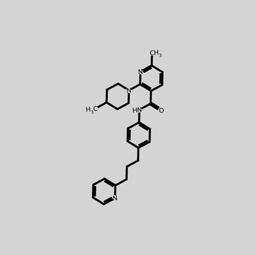 Cc1ccc(C(=O)Nc2ccc(CCCc3ccccn3)cc2)c(N2CCC(C)CC2)n1